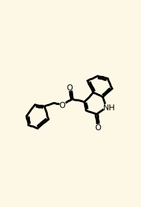 O=C(OCc1ccccc1)c1cc(=O)[nH]c2ccccc12